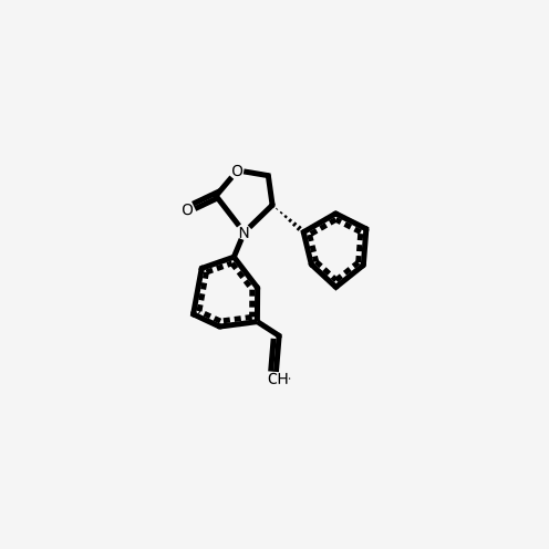 [CH]=Cc1cccc(N2C(=O)OC[C@@H]2c2ccccc2)c1